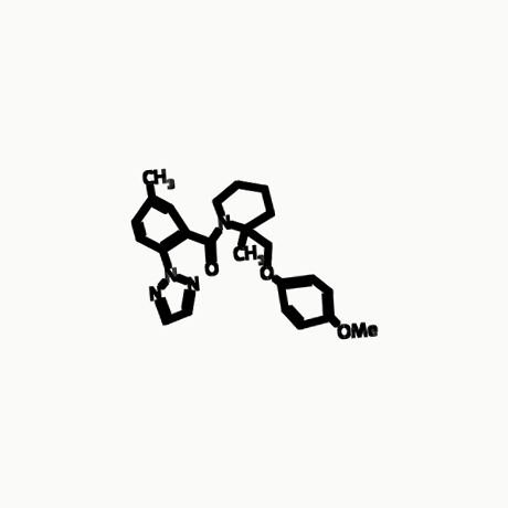 COc1ccc(OCC2(C)CCCCN2C(=O)c2cc(C)ccc2-n2nccn2)cc1